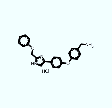 Cl.NCc1ccc(Oc2ccc(-c3c[nH]c(COc4ccccc4)n3)cc2)cc1